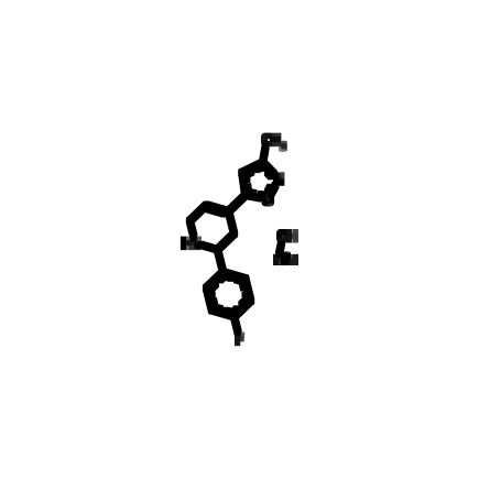 CCCCO.Cc1cc(C2=CCNC(c3ccc(F)cc3)C2)on1